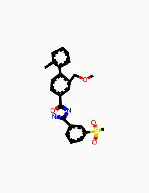 COCc1cc(-c2nc(-c3cccc(S(C)(=O)=O)c3)no2)ccc1-c1ccccc1C